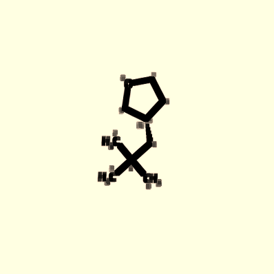 CC(C)(C)C[C@H]1CCOC1